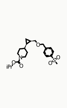 CC(C)OC(=O)N1CCC([C@H]2C[C@H]2COCc2ccc(S(C)(=O)=O)cc2)CC1